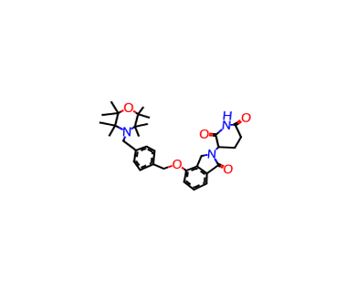 CC1(C)OC(C)(C)C(C)(C)N(Cc2ccc(COc3cccc4c3CN(C3CCC(=O)NC3=O)C4=O)cc2)C1(C)C